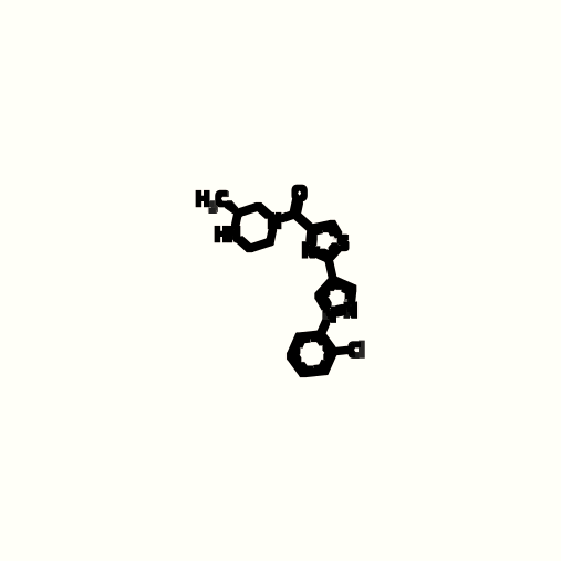 C[C@H]1CN(C(=O)c2csc(-c3cnn(-c4ccccc4Cl)c3)n2)CCN1